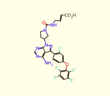 Nc1ncnc2c1c(-c1ccc(Oc3c(F)c(F)cc(F)c3F)cc1F)nn2C1CCN(C(=O)NC/C=C/C(=O)O)C1